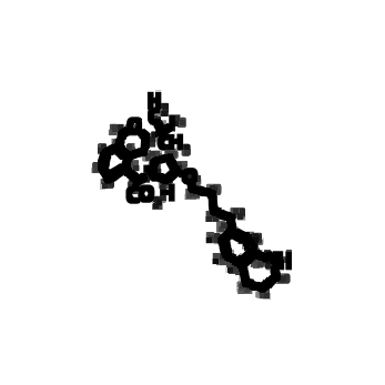 CC(C)(F)[C@@H]1Cc2c(cccc2[C@@H](C(=O)O)N2CC[C@@H](OCCCCc3ccc4c(n3)NCCC4)C2)CO1